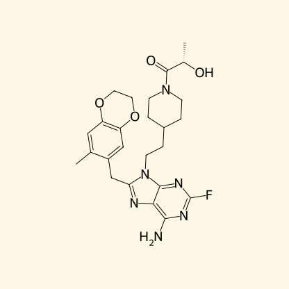 Cc1cc2c(cc1Cc1nc3c(N)nc(F)nc3n1CCC1CCN(C(=O)[C@H](C)O)CC1)OCCO2